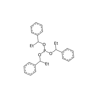 CCC(OP(OC(CC)c1ccccc1)OC(CC)c1ccccc1)c1ccccc1